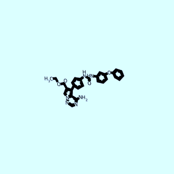 CCOC(=O)c1cn2ncnc(N)c2c1-c1ccc(NC(=O)Nc2cccc(Oc3ccccc3)c2)cc1